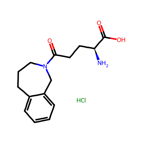 Cl.N[C@@H](CCC(=O)N1CCCc2ccccc2C1)C(=O)O